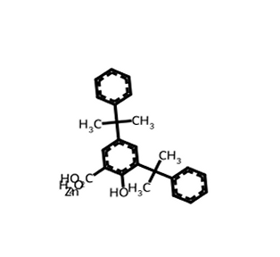 CC(C)(c1ccccc1)c1cc(C(=O)O)c(O)c(C(C)(C)c2ccccc2)c1.O.[Zn]